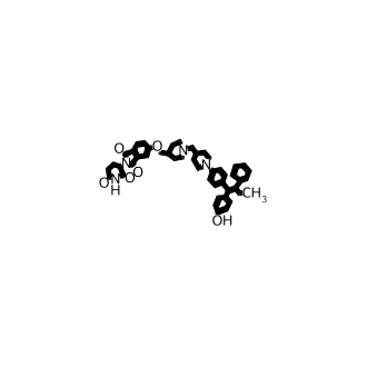 CCC(=C(c1ccc(O)cc1)c1ccc(N2CCC(CN3CCC(COc4ccc5c(c4)C(=O)N(C4CCC(=O)NC4=O)C5=O)CC3)CC2)cc1)c1ccccc1